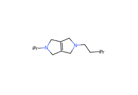 CC(C)CCN1CC2=C(C1)CN(C(C)C)C2